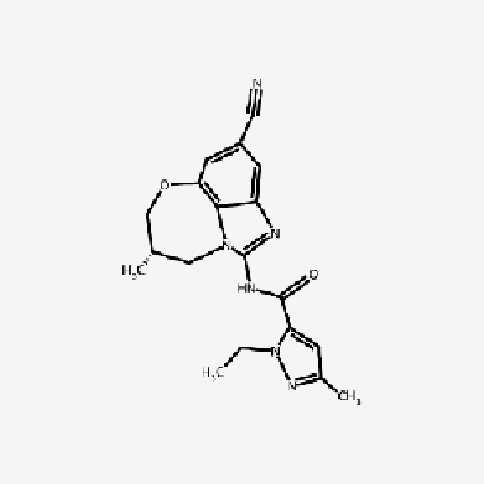 CCn1nc(C)cc1C(=O)Nc1nc2cc(C#N)cc3c2n1C[C@H](C)CO3